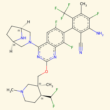 Cc1c(F)c(N)c(C#N)c(-c2c(F)cc3c(N4C[C@H]5CC[C@@H](C4)N5)nc(OC[C@]4(C)CN(C)CC[C@@H]4C(F)F)nc3c2F)c1C(F)(F)F